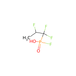 CC(F)C(F)(F)P(=O)(O)F